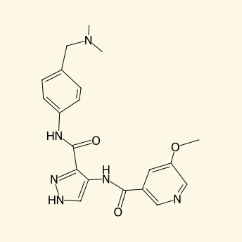 COc1cncc(C(=O)Nc2c[nH]nc2C(=O)Nc2ccc(CN(C)C)cc2)c1